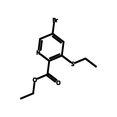 CCOC(=O)c1ncc(Br)cc1SCC